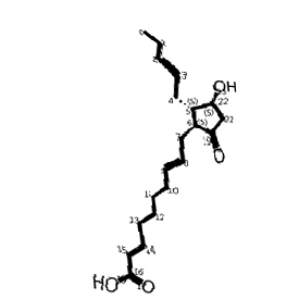 CCC=CC[C@H]1[C@H](CC=CCCCCCCC(=O)O)C(=O)C[C@@H]1O